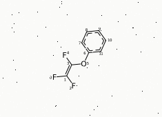 FC(F)=C(F)Oc1cc[c]cc1